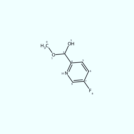 COC(O)c1ccc(F)cn1